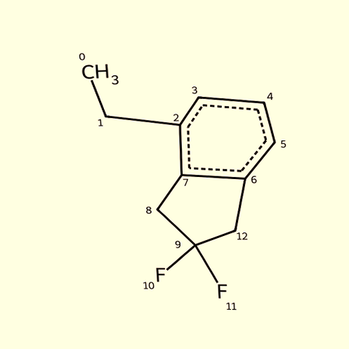 CCc1cccc2c1CC(F)(F)C2